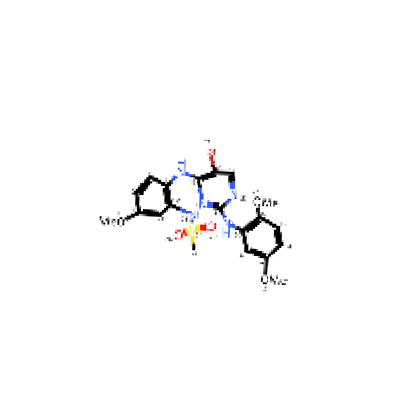 COc1ccc(Nc2nc(Nc3cc(OC)ccc3OC)ncc2Br)c(NS(C)(=O)=O)c1